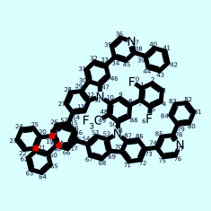 Fc1cccc(F)c1-c1cc(-n2c3cc(-c4ccnc(-c5ccccc5)c4)ccc3c3ccc(-c4ccnc(-c5ccccc5)c4)cc32)c(C(F)(F)F)c(-n2c3cc(-c4ccnc(-c5ccccc5)c4)ccc3c3ccc(-c4ccnc(-c5ccccc5)c4)cc32)c1